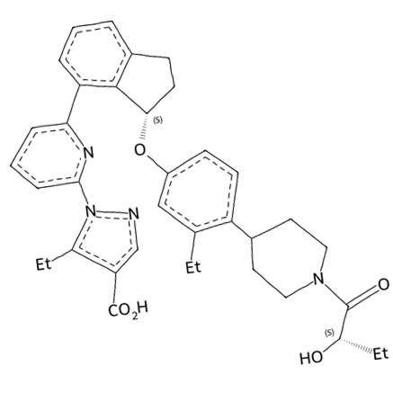 CCc1cc(O[C@H]2CCc3cccc(-c4cccc(-n5ncc(C(=O)O)c5CC)n4)c32)ccc1C1CCN(C(=O)[C@@H](O)CC)CC1